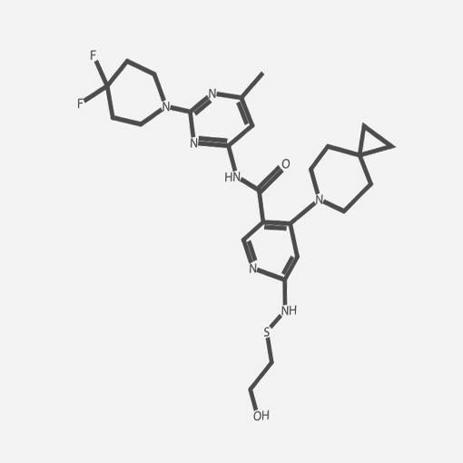 Cc1cc(NC(=O)c2cnc(NSCCO)cc2N2CCC3(CC2)CC3)nc(N2CCC(F)(F)CC2)n1